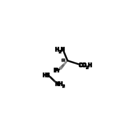 CC(C)[C@H](N)C(=O)O.NS